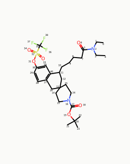 CCN(CC)C(=O)CCCCC1CC2(CCN(C(=O)OC(C)(C)C)CC2)Cc2ccc(OS(=O)(=O)C(F)(F)F)cc21